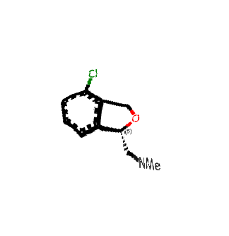 CNC[C@H]1OCc2c(Cl)cccc21